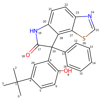 CC(C)(C)c1ccc(O)c(C2(c3ccccc3)C(=O)Nc3ccc4ncsc4c32)c1